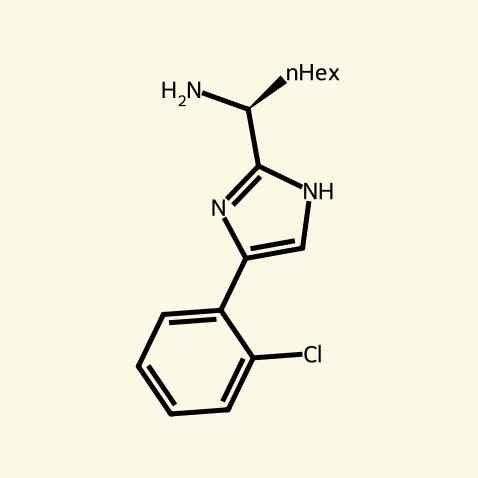 CCCCCC[C@H](N)c1nc(-c2ccccc2Cl)c[nH]1